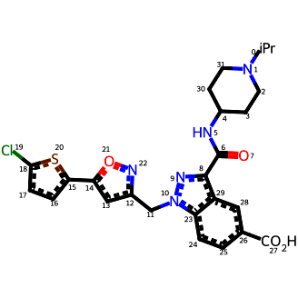 CC(C)N1CCC(NC(=O)c2nn(Cc3cc(-c4ccc(Cl)s4)on3)c3ccc(C(=O)O)cc23)CC1